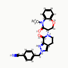 CN1C(=O)[C@@H](N2CCc3cn(Cc4ccc(C#N)cc4)nc3C2=O)COc2ccccc21